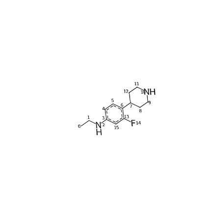 CCNc1ccc(C2CCNCC2)c(F)c1